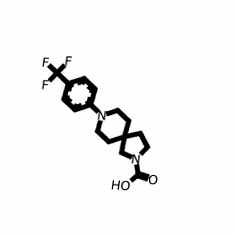 O=C(O)N1CCC2(CCN(c3ccc(C(F)(F)F)cc3)CC2)C1